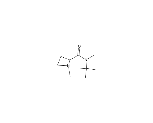 CN1CCC1C(=O)N(C)C(C)(C)C